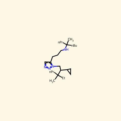 CCCCC(C)(CCC)NCCCc1cnnn1CC(C1CC1)C(C)(CC)CCC